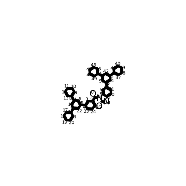 O=c1c2cc(-c3cc(-c4ccccc4)cc(-c4ccccc4)c3)ccc2oc2nc3ccc(-c4cc(-c5ccccc5)cc(-c5ccccc5)c4)cc3n12